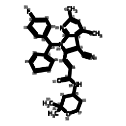 Cc1cc(C)c2c(C#N)c(C=CC(=O)NC3CCOC(C)(C)C3)n(C(c3ccccc3)c3ccc(F)cc3)c2n1